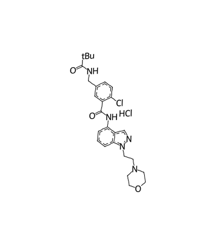 CC(C)(C)C(=O)NCc1ccc(Cl)c(C(=O)Nc2cccc3c2cnn3CCN2CCOCC2)c1.Cl